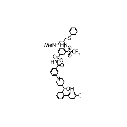 CNCC[C@H](CSc1ccccc1)Nc1ccc(S(=O)(=O)NC(=O)c2cccc(N3CCC([C@H](O)c4ccccc4-c4ccc(Cl)cc4)CC3)c2)cc1S(=O)(=O)C(F)(F)F